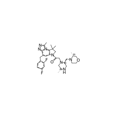 Cc1nnc2c(Cc3ccc(F)cc3F)cc3c(n12)C(C)(C)CN3C(=O)CN1C[C@@H](C)NC[C@@H]1CN1CCOC[C@H]1C